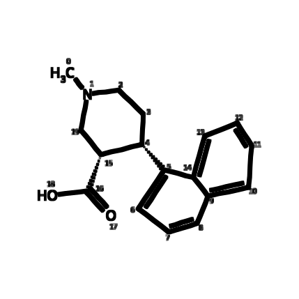 CN1CC[C@H](c2cccc3ccccc23)[C@H](C(=O)O)C1